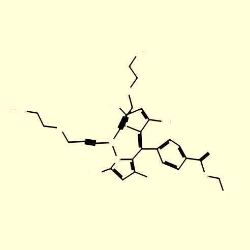 COCCOCC#CB(C#CCOCCOC)n1c(C)cc(C)c1/C(=C1\N=C(C)C=C1C)c1ccc(C(=O)NCC(=O)O)cc1